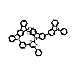 CC1(C)c2ccccc2-c2cc3c4ccccc4n(-c4cccc(-c5cc(-c6ccccc6)nc(-n6c7ccccc7c7cc(-c8ccc9c(c8)c8ccccc8n9-c8ccccc8)ccc76)n5)c4)c3cc21